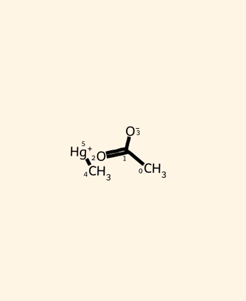 CC(=O)[O-].[CH3][Hg+]